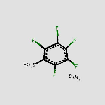 O=S(=O)(O)c1c(F)c(F)c(F)c(F)c1F.[BaH2]